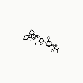 CC[C@H]1O[C@@H](n2ccc(NC(=O)C(C)C)nc2=O)CC1O[P@]1O[C@@](C)(C2CCCC2)[C@H]2CCCN21